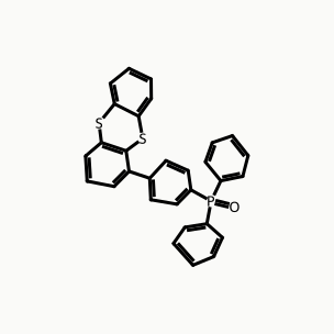 O=P(c1ccccc1)(c1ccccc1)c1ccc(-c2cccc3c2Sc2ccccc2S3)cc1